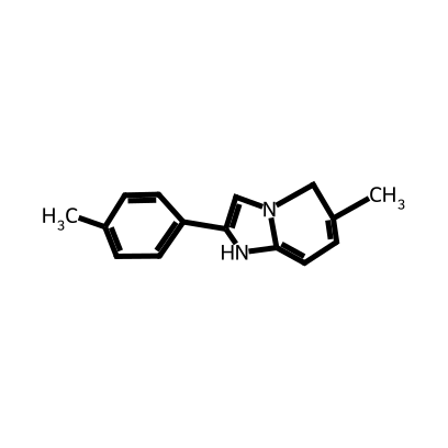 CC1=CC=C2NC(c3ccc(C)cc3)=CN2C1